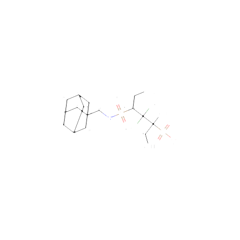 CCC(C(F)(F)C(C)(CC)S(=O)(=O)O)S(=O)(=O)NCC12CC3CC(CC(C3)C1)C2